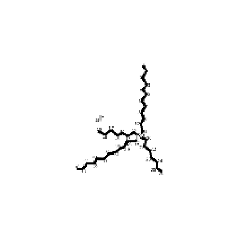 CCCCCCCCCCCC[N+](CCCCCCC)(CCCCCCC)CCCCCCCCCCCC.[I-]